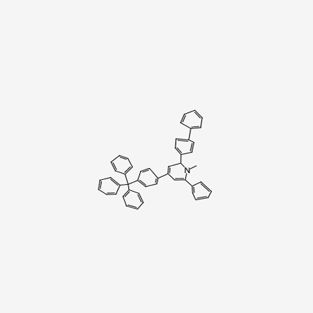 CN1C(c2ccccc2)=CC(c2ccc(C(c3ccccc3)(c3ccccc3)c3ccccc3)cc2)=CC1c1ccc(-c2ccccc2)cc1